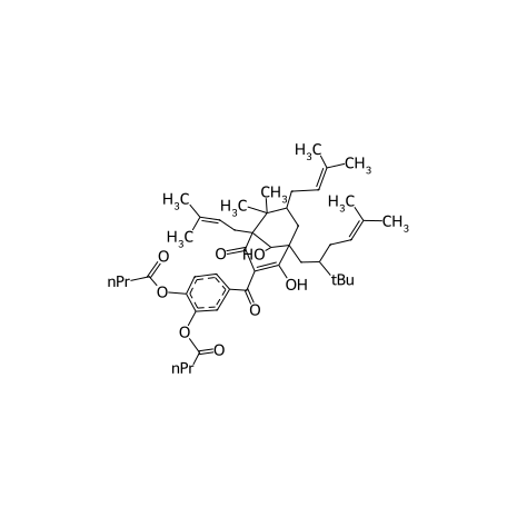 CCCC(=O)Oc1ccc(C(=O)C2=C(O)C3(CC(CC=C(C)C)C(C)(C)C)CC(CC=C(C)C)C(C)(C)C(CC=C(C)C)(C2=O)C3O)cc1OC(=O)CCC